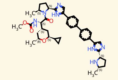 COC(=O)N[C@H](C(=O)N1[C@@H](C)CC[C@H]1c1ncc(-c2ccc(-c3ccc(-c4cnc([C@@H]5CC[C@H](C)N5)[nH]4)cc3)cc2)[nH]1)[C@H]1C[C@@H](C)O[C@H](C2CC2)C1